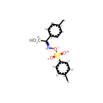 Cc1ccc(/C(=N\OS(=O)(=O)c2ccc(C)cc2)C(=O)O)cc1